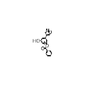 O=C(ON1CC(c2cnoc2)=CC(O)C1)c1ccccc1